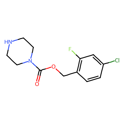 O=C(OCc1ccc(Cl)cc1F)N1CCNCC1